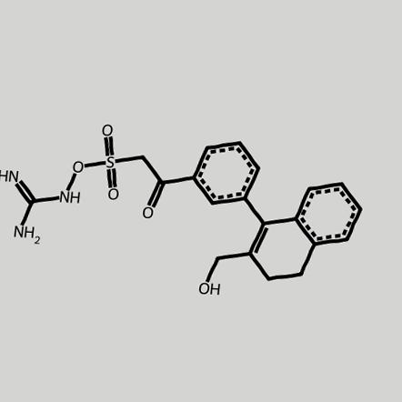 N=C(N)NOS(=O)(=O)CC(=O)c1cccc(C2=C(CO)CCc3ccccc32)c1